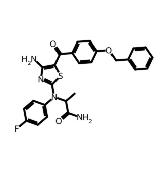 CC(C(N)=O)N(c1ccc(F)cc1)c1nc(N)c(C(=O)c2ccc(OCc3ccccc3)cc2)s1